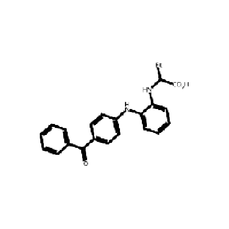 CCC(Nc1ccccc1Nc1ccc(C(=O)c2ccccc2)cc1)C(=O)O